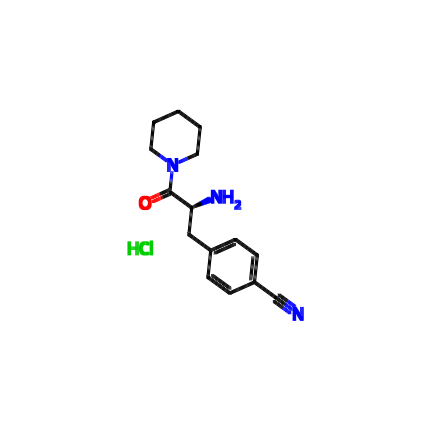 Cl.N#Cc1ccc(C[C@H](N)C(=O)N2CCCCC2)cc1